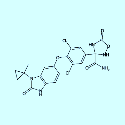 CC1(n2c(=O)[nH]c3ccc(Oc4c(Cl)cc(C5(C(N)=O)NOC(=O)N5)cc4Cl)cc32)CC1